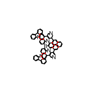 C1=NCC(c2ccccc2)C(N2c3cc(-n4c5ccccc5c5ccccc54)ccc3B3c4ccc(-n5c6ccccc6c6ccccc65)cc4N(c4c(-c5ccccc5)cncc4-c4ccccc4)c4cc(-c5ccccc5)cc2c43)=C1c1ccccc1